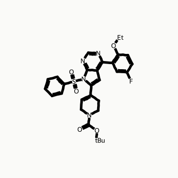 CCOc1ccc(F)cc1-c1ncnc2c1cc(C1=CCN(C(=O)OC(C)(C)C)CC1)n2S(=O)(=O)c1ccccc1